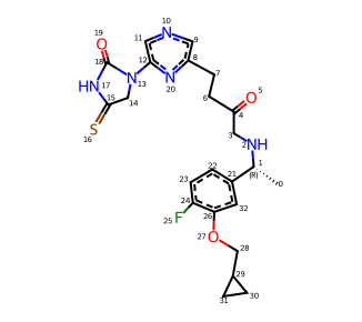 C[C@@H](NCC(=O)CCc1cncc(N2CC(=S)NC2=O)n1)c1ccc(F)c(OCC2CC2)c1